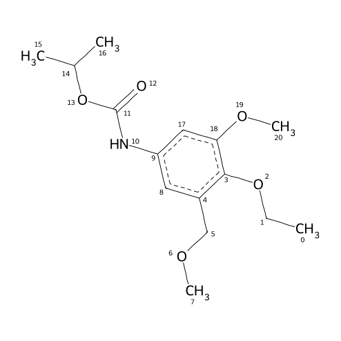 CCOc1c(COC)cc(NC(=O)OC(C)C)cc1OC